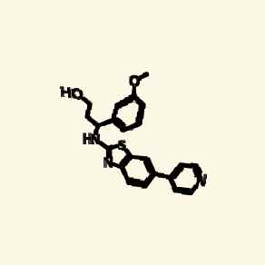 COc1cccc(C(CCO)Nc2nc3ccc(-c4ccncc4)cc3s2)c1